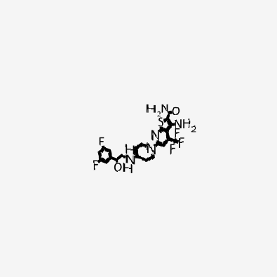 NC(=O)c1sc2nc(N3CCC(NCC(O)c4cc(F)cc(F)c4)CC3)cc(C(F)(F)F)c2c1N